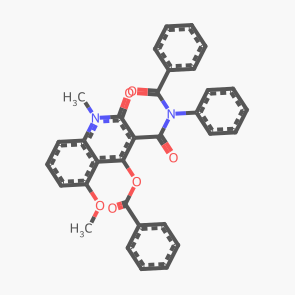 COc1cccc2c1c(OC(=O)c1ccccc1)c(C(=O)N(C(=O)c1ccccc1)c1ccccc1)c(=O)n2C